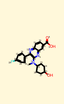 CN(c1nc2cc(C(=O)O)ccc2nc1-c1ccc(F)cc1)C1CCC(O)CC1